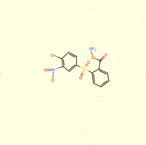 NOC(=O)c1ccccc1S(=O)(=O)c1ccc(Cl)c([N+](=O)[O-])c1